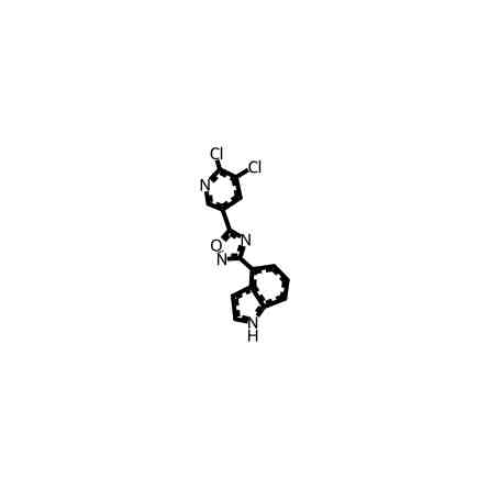 Clc1cc(-c2nc(-c3cccc4[nH]ccc34)no2)cnc1Cl